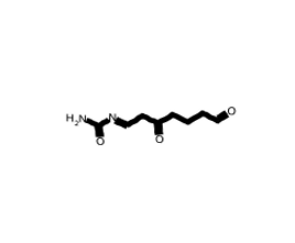 NC(=O)N=CCC(=O)CCCC=O